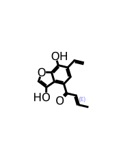 C=Cc1cc(C(=O)/C=C/C)c2c(O)coc2c1O